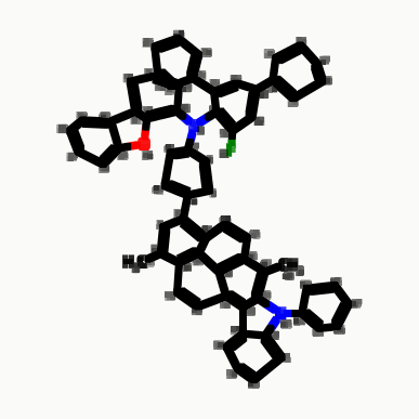 Cc1cc(-c2ccc(N(c3c(F)cc(-c4ccccc4)cc3-c3ccccc3)c3cccc4c3oc3ccccc34)cc2)c2ccc3c(C)c4c(c5ccc1c2c35)c1ccccc1n4-c1ccccc1